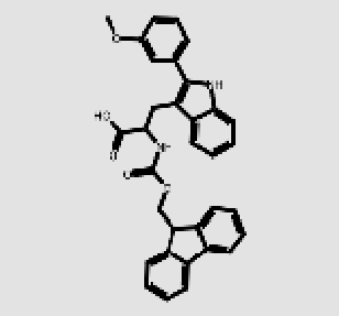 COc1cccc(-c2[nH]c3ccccc3c2CC(NC(=O)OCC2c3ccccc3-c3ccccc32)C(=O)O)c1